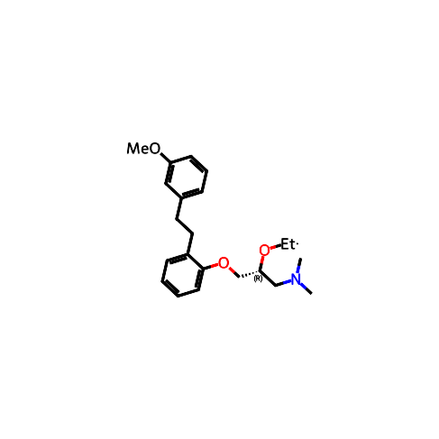 C[CH]O[C@@H](COc1ccccc1CCc1cccc(OC)c1)CN(C)C